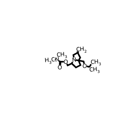 C=C1CN2C(COC(=O)N(C)C)CCC2(COC(C)C)C1